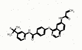 C=CC(=O)Nc1ccc2ncnc(Oc3ccc(C(=O)Nc4cc(C(C)(C)F)ccn4)cc3)c2c1